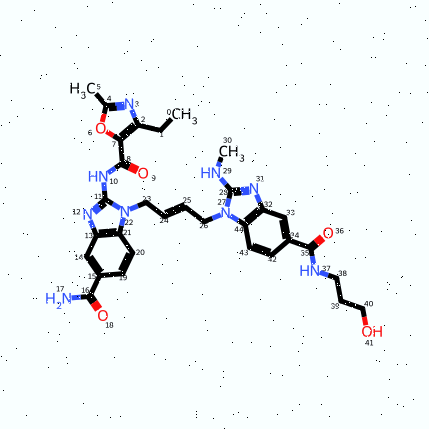 CCc1nc(C)oc1C(=O)Nc1nc2cc(C(N)=O)ccc2n1C/C=C/Cn1c(NC)nc2cc(C(=O)NCCCO)ccc21